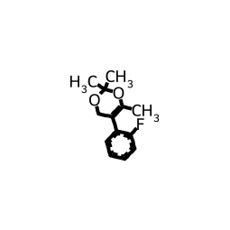 CC1=C(c2ccccc2F)COC(C)(C)O1